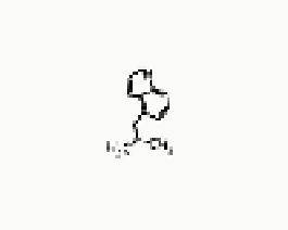 C[C](C)Cc1cccc2ncccc12